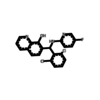 Oc1c(C(Nc2ccc(F)cn2)c2c(Cl)cccc2Cl)ccc2cccnc12